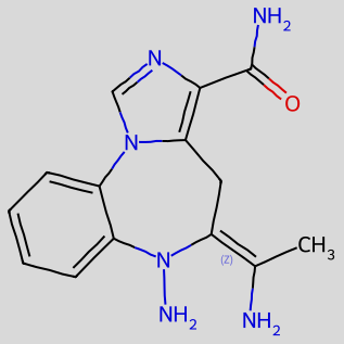 C/C(N)=C1\Cc2c(C(N)=O)ncn2-c2ccccc2N1N